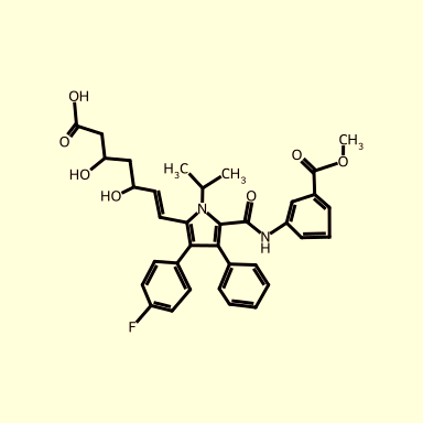 COC(=O)c1cccc(NC(=O)c2c(-c3ccccc3)c(-c3ccc(F)cc3)c(/C=C/C(O)CC(O)CC(=O)O)n2C(C)C)c1